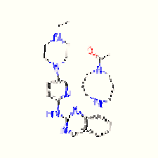 CCN1CCN(c2ccc(Nc3ncc4cccc(N5CCCN(C(C)=O)CCC5)c4n3)nc2)CC1